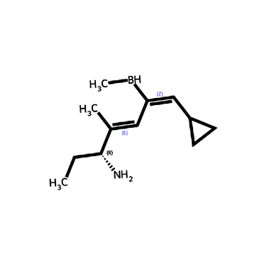 CBC(=C/C1CC1)/C=C(\C)[C@H](N)CC